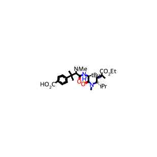 CCOC(=O)/C(C)=C/[C@H](C(C)C)N(C)C(=O)[C@@H](NC(=O)C(NC)C(C)(C)c1ccc(C(=O)O)cc1)C(C)(C)C